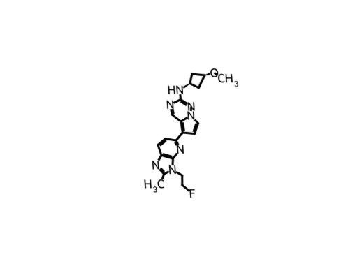 CO[C@H]1C[C@@H](Nc2ncc3c(-c4ccc5nc(C)n(CCF)c5n4)ccn3n2)C1